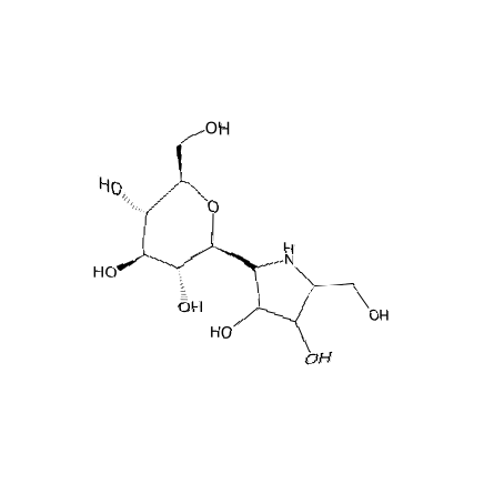 OCC1NC([C@@H]2O[C@H](CO)[C@@H](O)[C@H](O)[C@H]2O)C(O)C1O